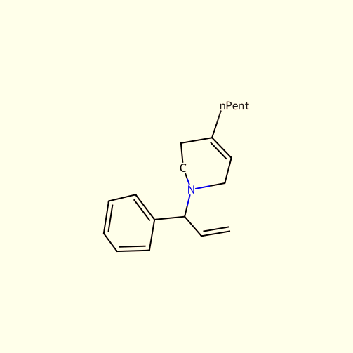 C=CC(c1ccccc1)N1CC=C(CCCCC)CC1